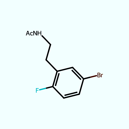 CC(=O)NCCc1cc(Br)ccc1F